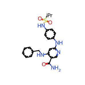 CC(C)S(=O)(=O)Nc1ccc(Nc2cc(NCc3ccccc3)c(C(N)=O)cn2)cc1